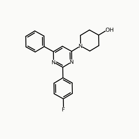 OC1CCN(c2cc(-c3ccccc3)nc(-c3ccc(F)cc3)n2)CC1